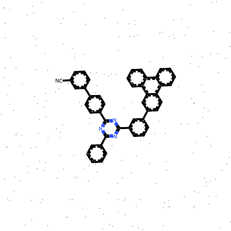 N#Cc1cccc(-c2ccc(-c3nc(-c4ccccc4)nc(-c4cccc(-c5ccc6c7ccccc7c7ccccc7c6c5)c4)n3)cc2)c1